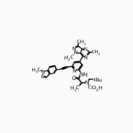 Cc1nc(-c2cc(C#Cc3ccc4c(cnn4C)c3)nc(NC(=O)C(C)N(CC(C)(C)C)C(=O)O)c2)c2c(n1)c(C)nn2C